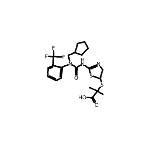 CC(C)(SC1CN=C(NC(=O)N(CC2CCCC2)c2ccccc2C(F)(F)F)S1)C(=O)O